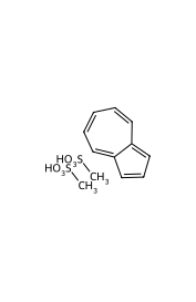 CS(=O)(=O)O.CS(=O)(=O)O.c1ccc2cccc-2cc1